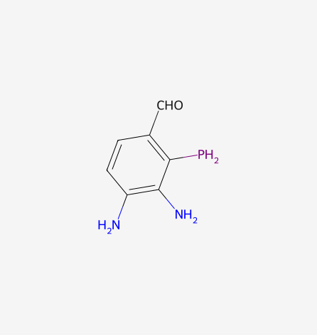 Nc1ccc(C=O)c(P)c1N